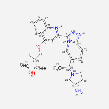 CO[C@H](C)COc1cc(-c2nnc3ccc([C@@H](N4CC[C@H](N)C4)C(F)(F)F)cn23)nc2ccccc12.O=CO